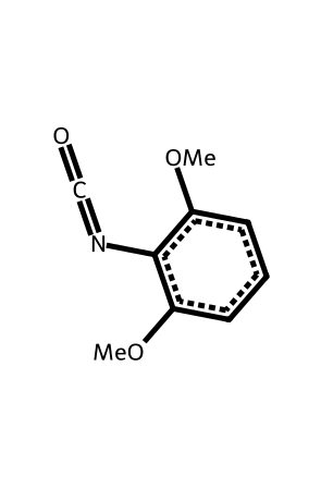 COc1cccc(OC)c1N=C=O